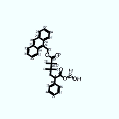 CC(C)(CC(C(=O)OBO)c1ccccc1)C(C)(C)C(=O)OCc1c2ccccc2cc2ccccc12